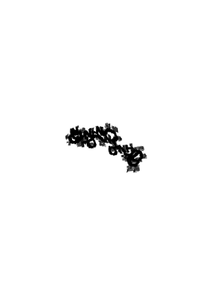 O=C(N[C@H]1CN2CCC1CC2)c1cn2c(C(=O)NCC34CC5CC(CC(C5)C3)C4)cccc2n1